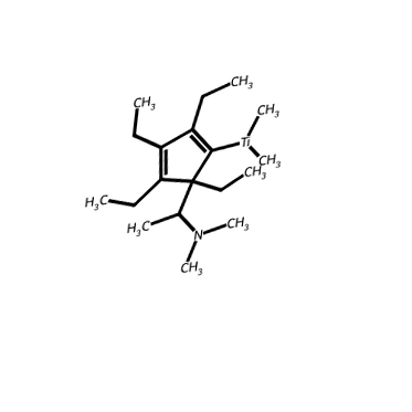 CCC1=C(CC)C(CC)(C(C)N(C)C)[C]([Ti]([CH3])[CH3])=C1CC